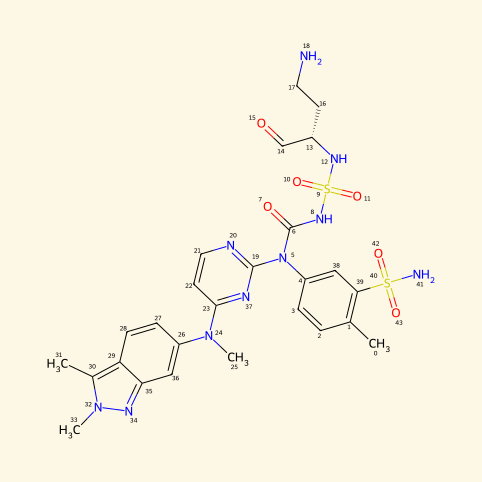 Cc1ccc(N(C(=O)NS(=O)(=O)N[C@H](C=O)CCN)c2nccc(N(C)c3ccc4c(C)n(C)nc4c3)n2)cc1S(N)(=O)=O